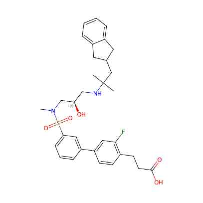 CN(C[C@H](O)CNC(C)(C)CC1Cc2ccccc2C1)S(=O)(=O)c1cccc(-c2ccc(CCC(=O)O)c(F)c2)c1